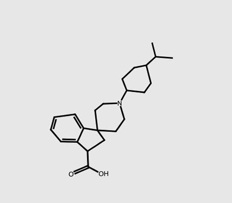 CC(C)C1CCC(N2CCC3(CC2)CC(C(=O)O)c2ccccc23)CC1